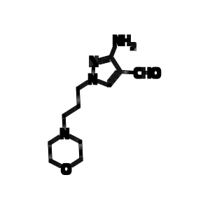 Nc1nn(CCCN2CCOCC2)cc1C=O